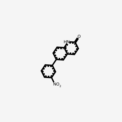 O=c1ccc2cc(-c3cccc([N+](=O)[O-])c3)ccc2[nH]1